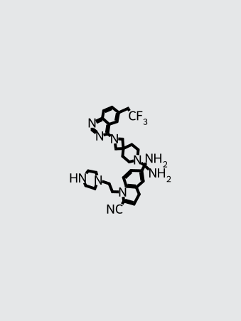 N#CC1=CCc2cc(C(N)(N)N3CCC4(CC3)CN(c3ncnc5ccc(CC(F)(F)F)cc35)C4)ccc2N1CCN1CCNCC1